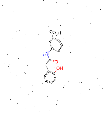 O=C(Cc1ccccc1O)Nc1cccc(C(=O)O)c1